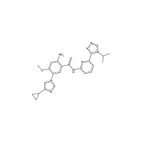 COc1cc(N)c(C(=O)Nc2cccc(-c3nncn3C(C)C)n2)cc1-n1cnc(C2CC2)c1